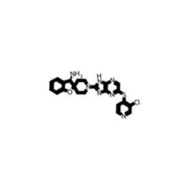 N[C@@H]1c2ccccc2OC12CCN(c1nc3nc(Sc4ccncc4Cl)cnc3[nH]1)CC2